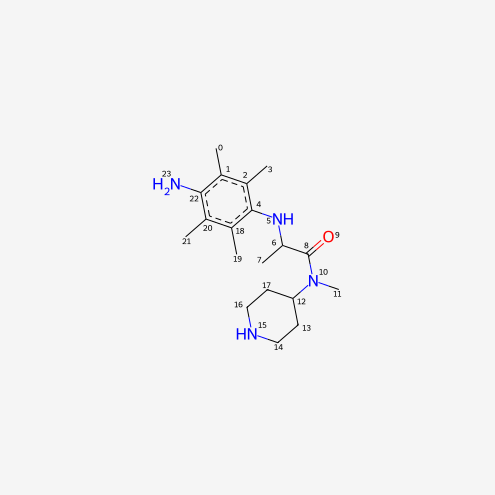 Cc1c(C)c(NC(C)C(=O)N(C)C2CCNCC2)c(C)c(C)c1N